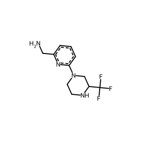 NCc1cccc(N2CCNC(C(F)(F)F)C2)n1